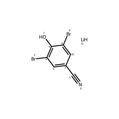 N#Cc1cc(Br)c(O)c(Br)c1.[LiH]